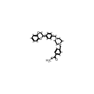 COC(=O)c1ccc(CN2CCN(Cc3ccc(C4COc5ccccc5O4)cc3)CC2)cc1